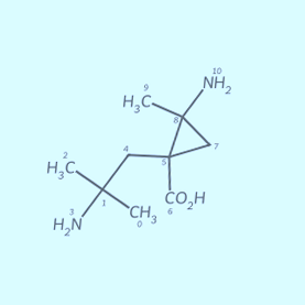 CC(C)(N)CC1(C(=O)O)CC1(C)N